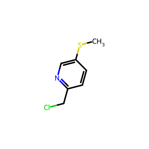 CSc1ccc(CCl)nc1